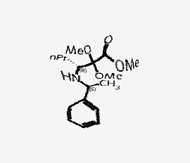 CCC[C@@H](N[C@@H](C)c1ccccc1)C(OC)(OC)C(=O)OC